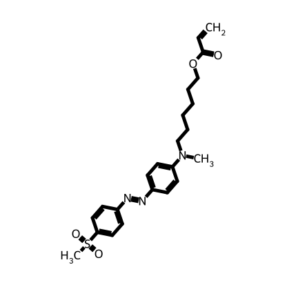 C=CC(=O)OCCCCCCN(C)c1ccc(N=Nc2ccc(S(C)(=O)=O)cc2)cc1